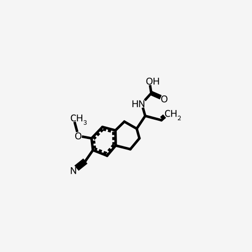 C=CC(NC(=O)O)C1CCc2cc(C#N)c(OC)cc2C1